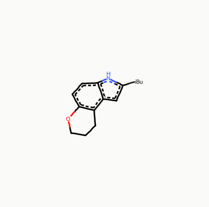 CCC(C)c1cc2c3c(ccc2[nH]1)OCCC3